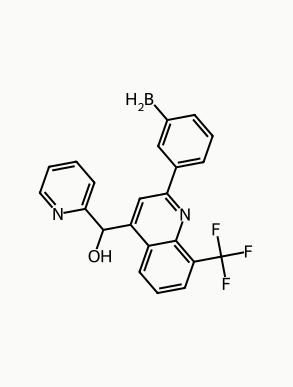 Bc1cccc(-c2cc(C(O)c3ccccn3)c3cccc(C(F)(F)F)c3n2)c1